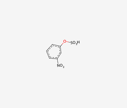 O=[N+]([O-])c1cccc(OS(=O)(=O)O)c1